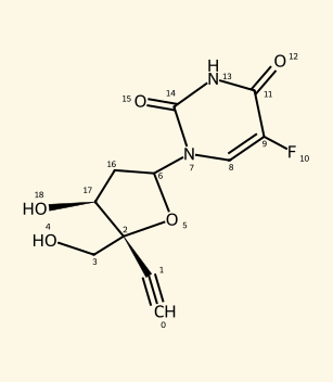 C#C[C@]1(CO)OC(n2cc(F)c(=O)[nH]c2=O)C[C@@H]1O